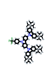 CC(C)[Si](c1ccc2c(c1)c1cc([Si](C(C)C)(C(C)C)C(C)C)ccc1n2-c1ccc2c(c1)c1cc(-n3c4ccc([Si](C(C)C)(C(C)C)C(C)C)cc4c4cc([Si](C(C)C)(C(C)C)C(C)C)ccc43)ccc1n2-c1ccc(C(F)(F)F)cc1)(C(C)C)C(C)C